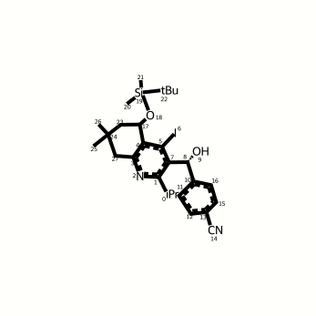 CC(C)c1nc2c(c(I)c1[C@H](O)c1ccc(C#N)cc1)C(O[Si](C)(C)C(C)(C)C)CC(C)(C)C2